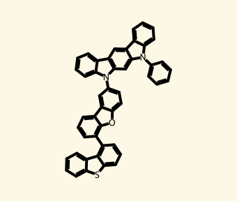 c1ccc(-n2c3ccccc3c3cc4c5ccccc5n(-c5ccc6oc7c(-c8cccc9sc%10ccccc%10c89)cccc7c6c5)c4cc32)cc1